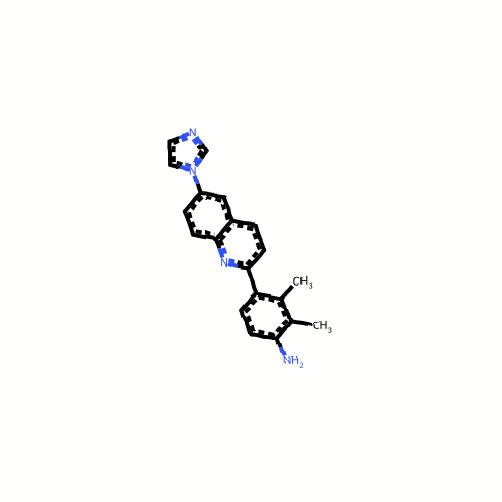 Cc1c(N)ccc(-c2ccc3cc(-n4ccnc4)ccc3n2)c1C